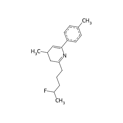 Cc1ccc(C2=CC(C)CC(CCCC(C)F)=N2)cc1